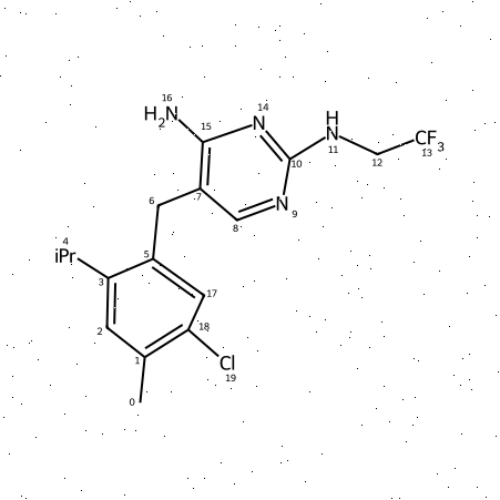 Cc1cc(C(C)C)c(Cc2cnc(NCC(F)(F)F)nc2N)cc1Cl